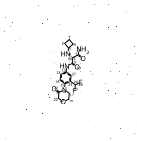 NC(=O)[C@@H](NC1CCC1)C(=O)Nc1ccc(N2CCOCC2=O)c(C(F)F)c1